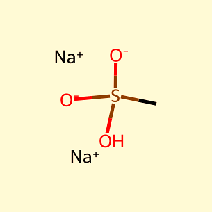 CS([O-])([O-])O.[Na+].[Na+]